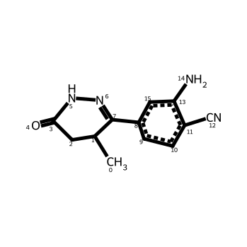 CC1CC(=O)NN=C1c1ccc(C#N)c(N)c1